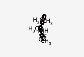 Cc1cc(C2CCN(C3CC4CCC(C3)N4C(C)C)CC2)cc2[nH]c(-c3ccc(S(C)(=O)=O)c(F)c3)nc12